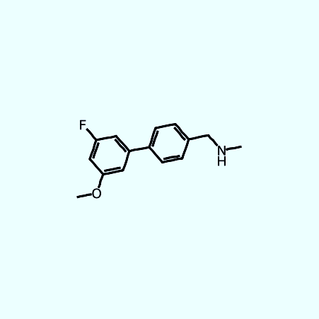 CNCc1ccc(-c2cc(F)cc(OC)c2)cc1